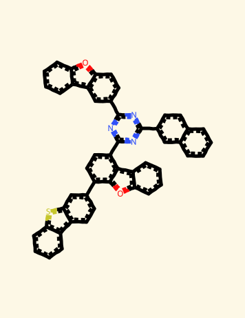 c1ccc2cc(-c3nc(-c4ccc5oc6ccccc6c5c4)nc(-c4ccc(-c5ccc6c(c5)sc5ccccc56)c5oc6ccccc6c45)n3)ccc2c1